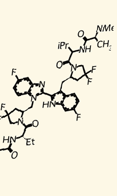 CC[C@H](NC(=O)[C@H](C)NC)C(=O)N1CC(F)(F)C[C@H]1Cn1c(-c2[nH]c3cc(F)ccc3c2C[C@@H]2CC(F)(F)CN2C(=O)C(NC(=O)[C@H](C)NC)C(C)C)nc2cc(F)ccc21